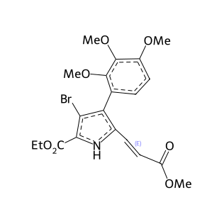 CCOC(=O)c1[nH]c(/C=C/C(=O)OC)c(-c2ccc(OC)c(OC)c2OC)c1Br